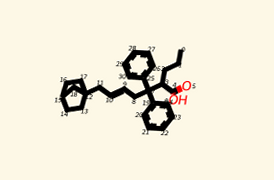 CCCC(C(=O)O)C(CC=CCC12CCC(CC1)C2)(c1ccccc1)c1ccccc1